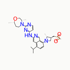 CC(C)c1ccc(N2C[C@H](CS(C)(=O)=O)[C@H]2C)c2cnc(Nc3ccnc(N4CC[C@H](C)OC[C@@H]4C)n3)cc12